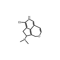 CCC1=C2CC(N(C)C)C3=C2C(=CN1)C=COC3